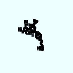 CC(C)(C)c1nc(C2CC2)cc(N2CCN(CCCO)CC2)n1